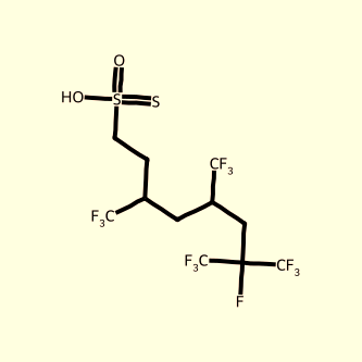 O=S(O)(=S)CCC(CC(CC(F)(C(F)(F)F)C(F)(F)F)C(F)(F)F)C(F)(F)F